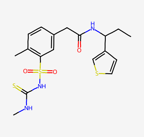 CCC(NC(=O)Cc1ccc(C)c(S(=O)(=O)NC(=S)NC)c1)c1ccsc1